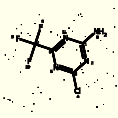 Nc1nc(Cl)nc(C(F)(F)F)n1